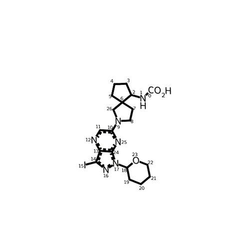 O=C(O)NC1CCCC12CCN(c1cnc3c(I)nn(C4CCCCO4)c3n1)C2